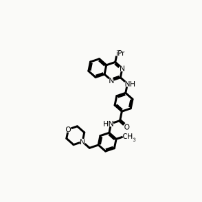 Cc1ccc(CN2CCOCC2)cc1NC(=O)c1ccc(Nc2nc(C(C)C)c3ccccc3n2)cc1